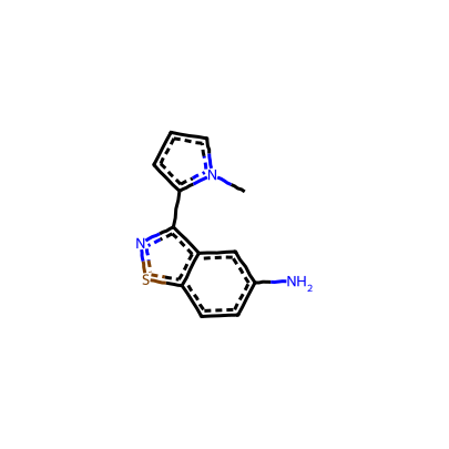 Cn1cccc1-c1nsc2ccc(N)cc12